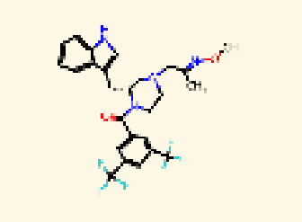 CO/N=C(\C)CN1CCN(C(=O)c2cc(C(F)(F)F)cc(C(F)(F)F)c2)[C@H](Cc2c[nH]c3ccccc23)C1